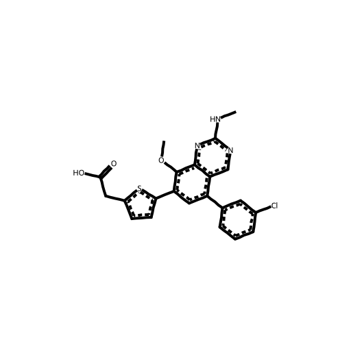 CNc1ncc2c(-c3cccc(Cl)c3)cc(-c3ccc(CC(=O)O)s3)c(OC)c2n1